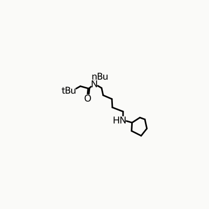 CCCCN(CCCCCNC1CCCCC1)C(=O)CC(C)(C)C